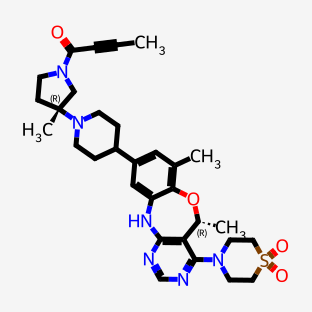 CC#CC(=O)N1CC[C@@](C)(N2CCC(c3cc(C)c4c(c3)Nc3ncnc(N5CCS(=O)(=O)CC5)c3[C@@H](C)O4)CC2)C1